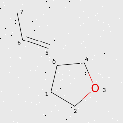 C1CCOC1.C=CC